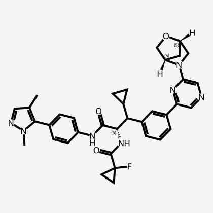 Cc1cnn(C)c1-c1ccc(NC(=O)[C@@H](NC(=O)C2(F)CC2)C(c2cccc(-c3cncc(N4C[C@@H]5C[C@H]4CO5)n3)c2)C2CC2)cc1